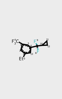 CCc1cc(C(F)(F)F)cc(C(F)(F)C2CC2)c1